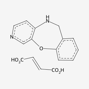 O=C(O)C=CC(=O)O.c1ccc2c(c1)CNc1ccncc1O2